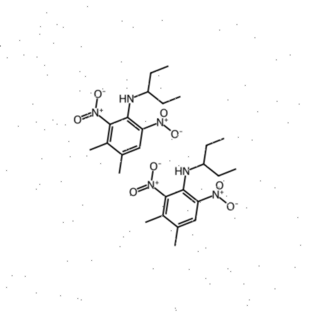 CCC(CC)Nc1c([N+](=O)[O-])cc(C)c(C)c1[N+](=O)[O-].CCC(CC)Nc1c([N+](=O)[O-])cc(C)c(C)c1[N+](=O)[O-]